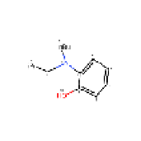 CCCCN(CC(C)C)c1ccccc1O